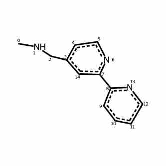 CNCc1ccnc(-c2ccccn2)c1